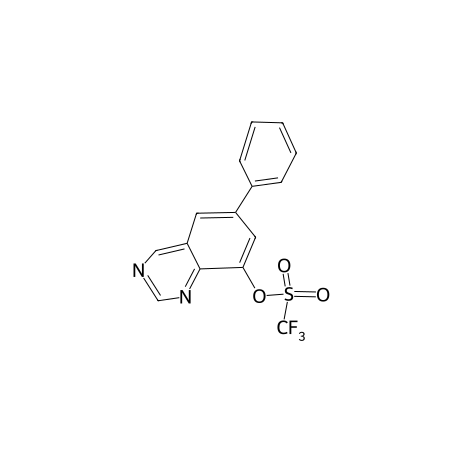 O=S(=O)(Oc1cc(-c2ccccc2)cc2cncnc12)C(F)(F)F